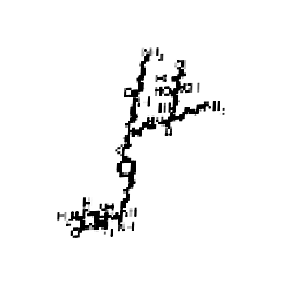 N=C(NCCCCC1CCC(OCCN(CCCNC(=O)CCCCCN)CCCNC(=O)[C@H](CCCCN)NC[C@H](O)[C@@H](O)[C@H](O)CO)CC1)NC(=O)C1=C(N)NC(N)C(Cl)N1